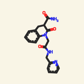 NC(=O)C1Cc2ccccc2N(CC(=O)NCc2ccccn2)C1=O